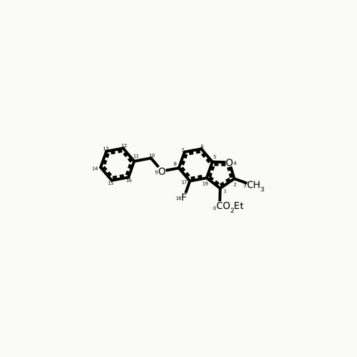 CCOC(=O)c1c(C)oc2ccc(OCc3ccccc3)c(F)c12